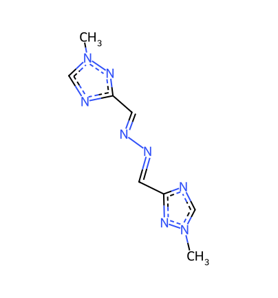 Cn1cnc(C=NN=Cc2ncn(C)n2)n1